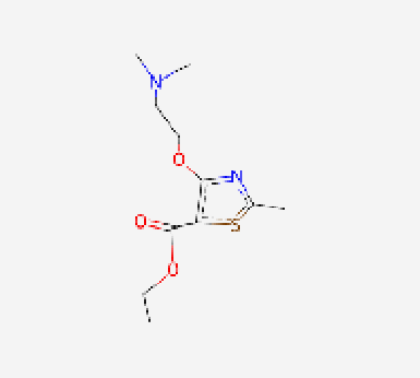 CCOC(=O)c1sc(C)nc1OCCN(C)C